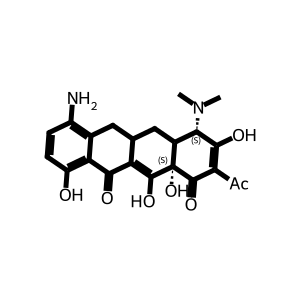 CC(=O)C1=C(O)[C@@H](N(C)C)C2CC3Cc4c(N)ccc(O)c4C(=O)C3=C(O)[C@]2(O)C1=O